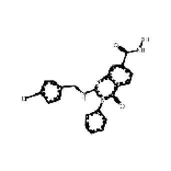 O=C(NO)c1ccc2c(=O)n(-c3ccccc3)c(NCc3ccc(Cl)cc3)nc2c1